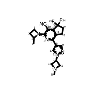 CC1CCN1c1nc(-c2cnn(C3CN(C)C3)c2)c2c(c1C#N)C(F)(F)CC2